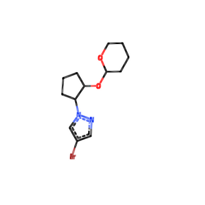 Brc1cnn(C2CCCC2OC2CCCCO2)c1